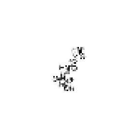 CNC(=O)CSCC(=O)NCCN1C(=O)C[C@@H](O)C1=O